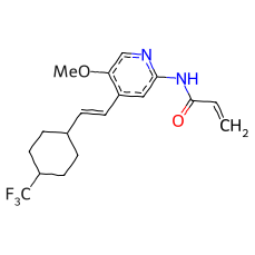 C=CC(=O)Nc1cc(C=CC2CCC(C(F)(F)F)CC2)c(OC)cn1